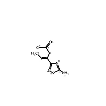 CC=C(CC(=O)Cl)c1nsc(N)n1